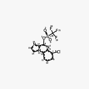 O=S(=O)(Oc1nc2c(Cl)cccc2n2ccnc12)C(F)(F)F